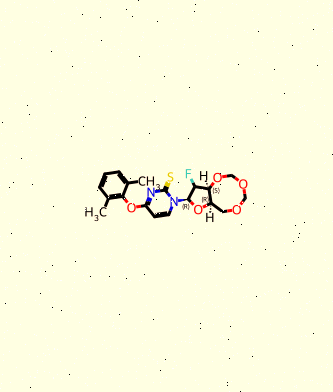 Cc1cccc(C)c1Oc1ccn([C@@H]2O[C@@H]3COCOCO[C@@H]3C2F)c(=S)n1